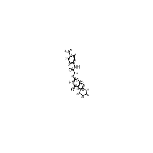 CC(C)c1ccc(NC(=O)CCc2nc3sc4c(c3c(=O)[nH]2)CCCC4)cc1